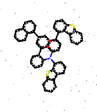 c1cc(-c2ccccc2N(c2ccc(-c3cccc4sc5ccccc5c34)cc2)c2cccc3c2sc2ccccc23)cc(-c2cccc3ccccc23)c1